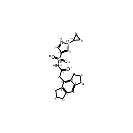 O=C(Cc1c2c(cc3c1CCC3)CCC2)NS(=O)(=O)c1cnn(C2CC2)c1